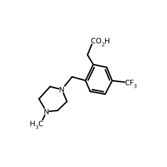 CN1CCN(Cc2ccc(C(F)(F)F)cc2CC(=O)O)CC1